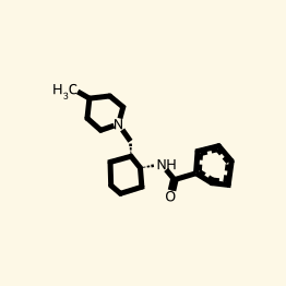 CC1CCN(C[C@H]2CCCC[C@H]2NC(=O)c2ccccc2)CC1